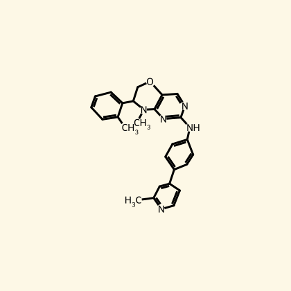 Cc1cc(-c2ccc(Nc3ncc4c(n3)N(C)C(c3ccccc3C)CO4)cc2)ccn1